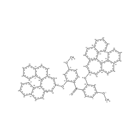 COc1ccc(C(=O)c2ccc(OC)cc2Op2oc3ccc4ccccc4c3c3c(ccc4ccccc43)o2)c(Op2oc3ccc4ccccc4c3c3c(ccc4ccccc43)o2)c1